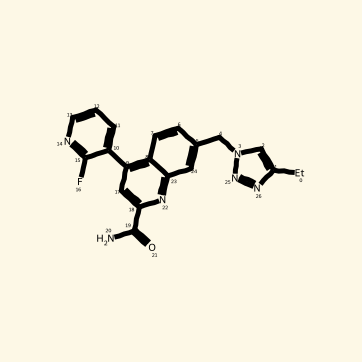 CCc1cn(Cc2ccc3c(-c4cccnc4F)cc(C(N)=O)nc3c2)nn1